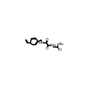 C=CC1C=CC(CNC(=O)C(=O)NCC(CC)CCCC)=CC1